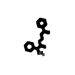 CN(C(=S)SCCC(=O)c1ccccc1)C1CCCCC1